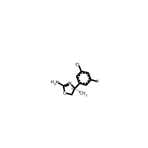 C[C@]1(c2cc(F)cc(Cl)c2)COC(N)=N1